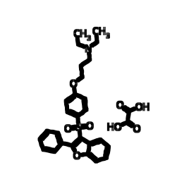 CCN(CC)CCCOc1ccc(S(=O)(=O)c2c(-c3ccccc3)oc3ccccc23)cc1.O=C(O)C(=O)O